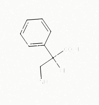 NCC(Cl)(C(=O)O)c1ccccc1